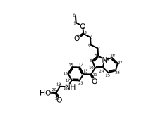 CCOC(=O)CCCc1cc(C(=O)c2cccc(NCC(=O)O)c2)c2ccccn12